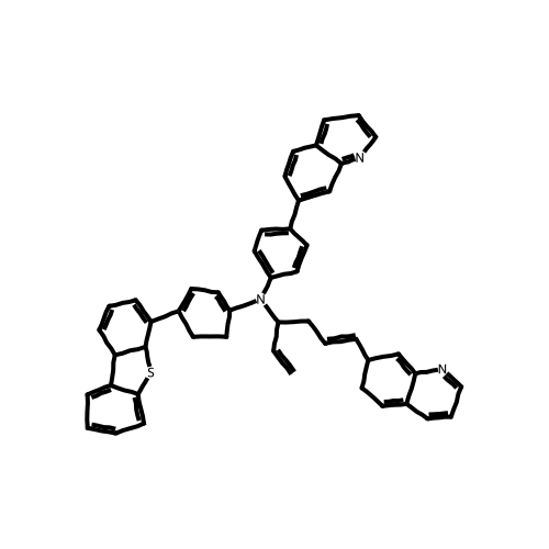 C=CC(C/C=C/C1C=c2ncccc2=CC1)N(C1=CC=C(C2=CC=CC3c4ccccc4SC23)CC1)c1ccc(-c2ccc3cccnc3c2)cc1